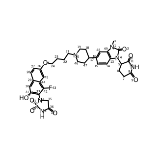 Cn1c(=O)n(C2CCC(=O)NC2=O)c2ccc(C3CCN(CCCCOc4ccc5cc(O)c(N6CC(=O)NS6(=O)=O)c(F)c5c4)CC3)cc21